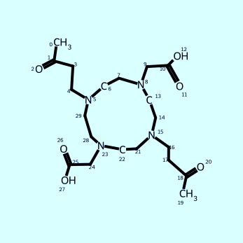 CC(=O)CCN1CCN(CC(=O)O)CCN(CCC(C)=O)CCN(CC(=O)O)CC1